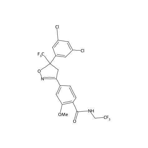 COc1cc(C2=NOC(c3cc(Cl)cc(Cl)c3)(C(F)(F)F)C2)ccc1C(=O)NCC(F)(F)F